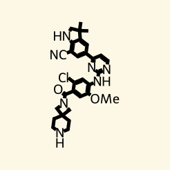 COc1cc(C(=O)N2CC3(CCNCC3)C2)c(Cl)cc1Nc1nccc(-c2cc(C#N)c3c(c2)C(C)(C)CN3)n1